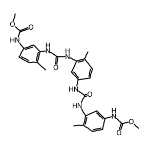 COC(=O)Nc1ccc(C)c(NC(=O)Nc2ccc(C)c(NC(=O)Nc3cc(NC(=O)OC)ccc3C)c2)c1